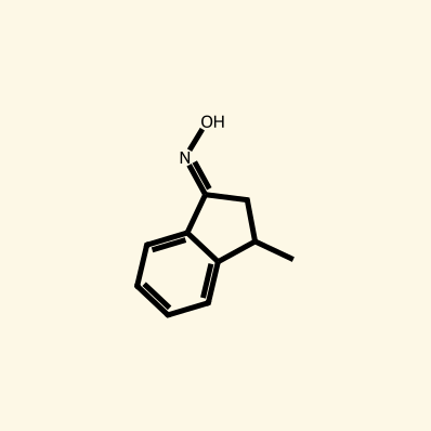 CC1CC(=NO)c2ccccc21